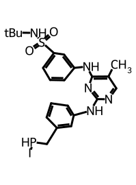 Cc1cnc(Nc2cccc(CPI)c2)nc1Nc1cccc(S(=O)(=O)NC(C)(C)C)c1